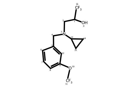 OC(CN(Cc1cccc(OC(F)(F)F)c1)C1CC1)C(F)(F)F